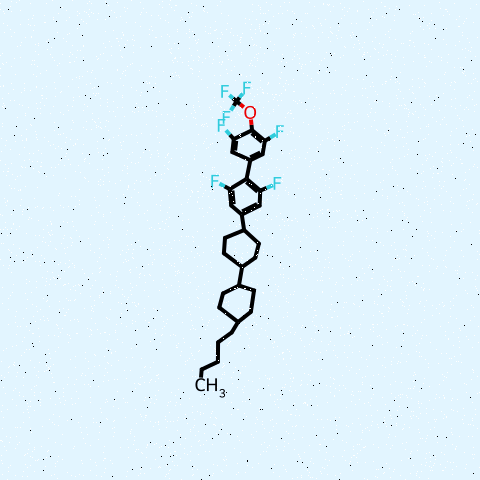 CCCCCC1CCC(C2CCC(c3cc(F)c(-c4cc(F)c(OC(F)(F)F)c(F)c4)c(F)c3)CC2)CC1